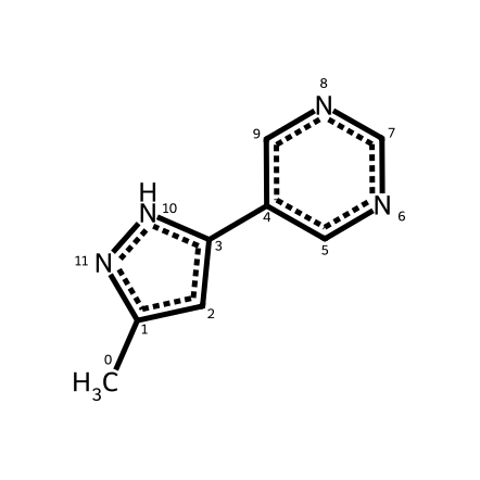 Cc1cc(-c2cncnc2)[nH]n1